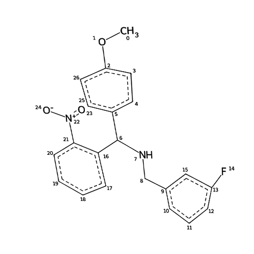 COc1ccc(C(NCc2cccc(F)c2)c2ccccc2[N+](=O)[O-])cc1